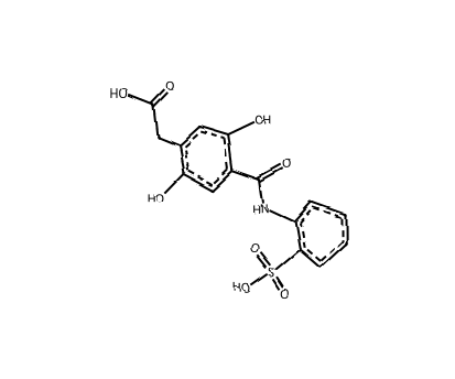 O=C(O)Cc1cc(O)c(C(=O)Nc2ccccc2S(=O)(=O)O)cc1O